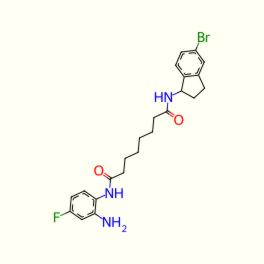 Nc1cc(F)ccc1NC(=O)CCCCCCC(=O)NC1CCc2cc(Br)ccc21